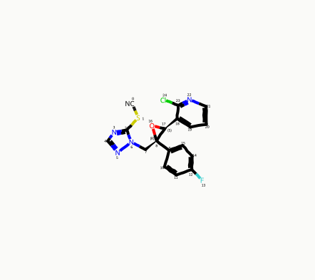 N#CSc1ncnn1C[C@@]1(c2ccc(F)cc2)O[C@H]1c1cccnc1Cl